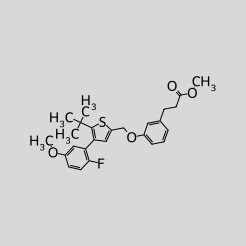 COC(=O)CCc1cccc(OCc2cc(-c3cc(OC)ccc3F)c(C(C)(C)C)s2)c1